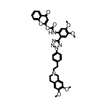 COc1cc2c(cc1OC)CN(CCc1ccc(-n3nnc(-c4cc(OC)c(OC)cc4NC(=O)Oc4cc(=O)c5ccccc5o4)n3)cc1)CC2